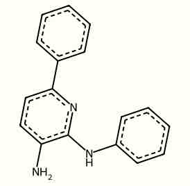 Nc1ccc(-c2ccccc2)nc1Nc1ccccc1